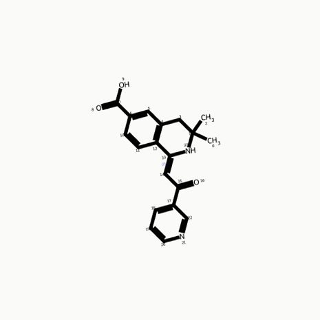 CC1(C)Cc2cc(C(=O)O)ccc2/C(=C/C(=O)c2cccnc2)N1